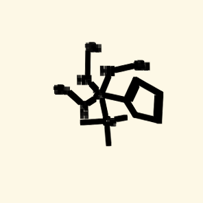 CC(C)(C)[NH][Zr]([NH]C(C)(C)C)([NH]C(C)(C)C)([C]1=CC=CC1)[Ge]([CH3])([CH3])[CH3]